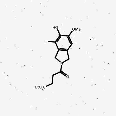 CCOC(=O)CCC(=O)N1Cc2cc(OC)c(O)c(F)c2C1